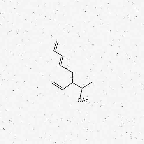 C=CC=CCC(C=C)C(C)OC(C)=O